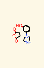 O=C1CCC(=O)O1.Oc1cccc(N2CCNCC2)c1